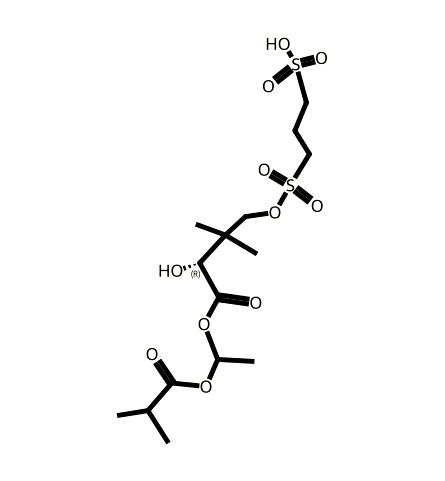 CC(OC(=O)C(C)C)OC(=O)[C@H](O)C(C)(C)COS(=O)(=O)CCCS(=O)(=O)O